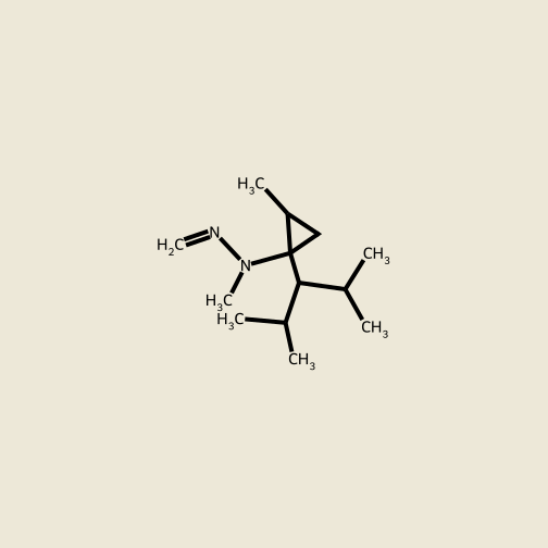 C=NN(C)C1(C(C(C)C)C(C)C)CC1C